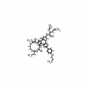 CCCOc1ccc(-c2nc3c(s2)C2C[C@@H](OC(O)[C@H](COC)OC)C[C@H]2C2C=C4C(=O)[C@H](C)CCCC[C@H](CC)OC(=O)C[C@H]4[C@H]32)cc1